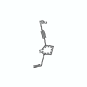 C=Cc1ccc(C#CC(C)(C)C)s1